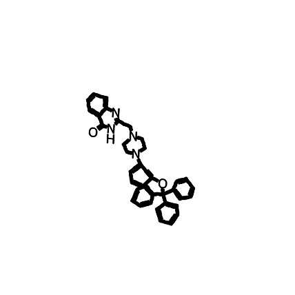 O=c1[nH]c(CN2CCN(c3cccc(OC(c4ccccc4)(c4ccccc4)c4ccccc4)c3)CC2)nc2ccccc12